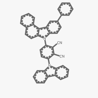 N#Cc1c(-n2c3ccccc3c3ccccc32)ccc(-n2c3ccc(-c4ccccc4)cc3c3c4ccccc4ccc32)c1C#N